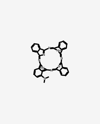 CN(C)c1cccc2c3nc4nc(nc5[nH]c(nc6nc(nc([nH]3)c12)-c1ccccc1-6)c1ccccc51)-c1ccccc1-4